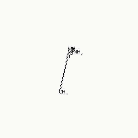 CCCCCCCCCCCCCCCCCCOCC(CO)OC(N)=O